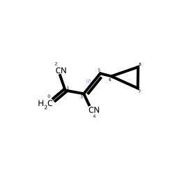 C=C(C#N)/C(C#N)=C/C1CC1